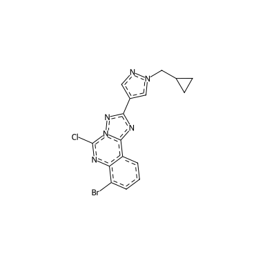 Clc1nc2c(Br)cccc2c2nc(-c3cnn(CC4CC4)c3)nn12